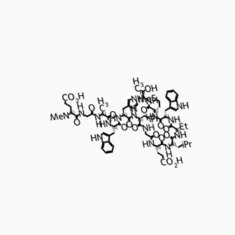 CC[C@H](NC(=O)[C@H](CC(C)C)NC(=O)[C@H](CCC(=O)O)NC(=O)CNC(=O)[C@H](CC(C)C)NC(=O)[C@H](Cc1c[nH]cn1)NC(=O)[C@H](Cc1c[nH]c2ccccc12)NC(=O)[C@H](C)NC(=O)CNC(=O)[C@H](CCC(=O)O)NC)C(=O)N[C@@H](Cc1c[nH]c2ccccc12)C(=O)N[C@@H](CCSC)C(=O)NC[C@@H](C)O